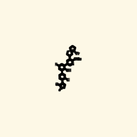 COc1ncc(-c2cc(F)cc(-c3ccc(-n4ccn(C)c4=O)c(Cl)c3)c2O)cc1N1CC[C@@]2(CCCN2C(C)C)C1